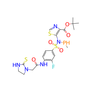 CPN(c1scnc1C(=O)OC(C)(C)C)S(=O)(=O)c1ccc(NC(=O)CN2CCNC2=S)c(F)c1